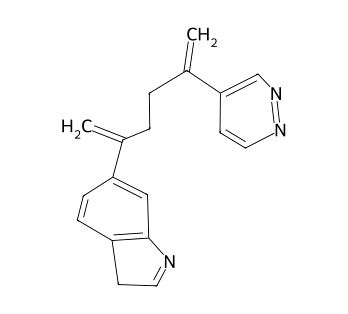 C=C(CCC(=C)c1ccc2c(c1)N=CC2)c1ccnnc1